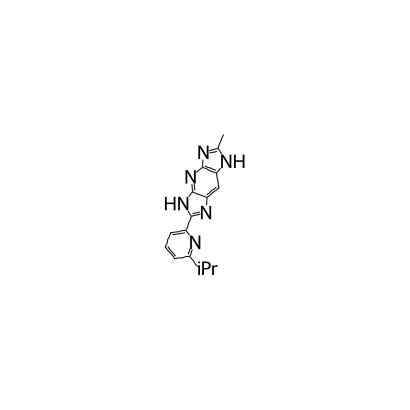 Cc1nc2nc3[nH]c(-c4cccc(C(C)C)n4)nc3cc2[nH]1